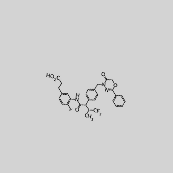 CC(C(C(=O)Nc1cc(CCC(=O)O)ccc1F)c1ccc(CN2N=C(c3ccccc3)OCC2=O)cc1)C(F)(F)F